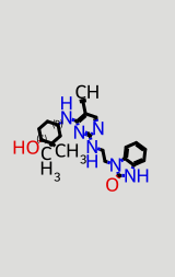 C#Cc1cnc(NCCn2c(=O)[nH]c3ccccc32)nc1N[C@@H]1CC[C@H](O)C(C)(C)C1